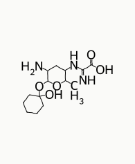 CC1OC(OC2(O)CCCCC2)C(N)CC1NC(=N)C(=O)O